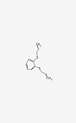 C=CCSc1ccccc1SCC=C